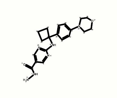 NNC(=O)c1cnc(NC2(c3ccc(N4CCOCC4)cc3)CCC2)nc1